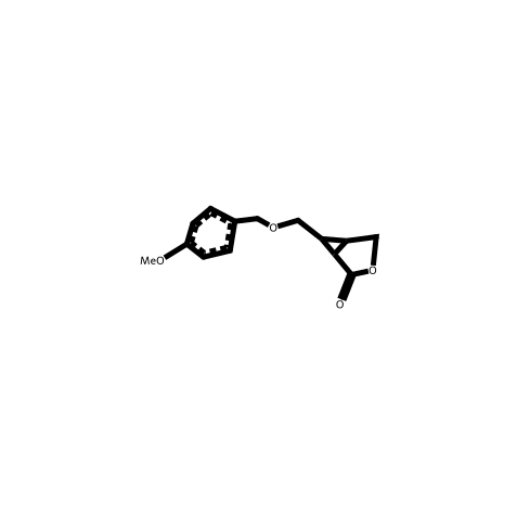 COc1ccc(COCC2C3COC(=O)C23)cc1